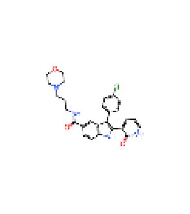 O=C(NCCCN1CCOCC1)c1ccc2[nH]c(-c3ccc[nH]c3=O)c(-c3ccc(Cl)cc3)c2c1